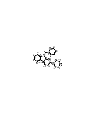 c1ccc(Cn2c3ccccc3c3ccc(N4CCOCC4)nc32)cc1